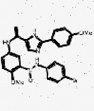 C=C(Nc1ccc(OC)c([S+]([O-])Nc2ccc(Br)cc2)c1)c1cnc(-c2ccc(OC)cc2)[nH]1